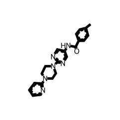 Cc1ccc(C(=O)Nc2cnc(N3CCN(c4ccccn4)CC3)nc2)cc1